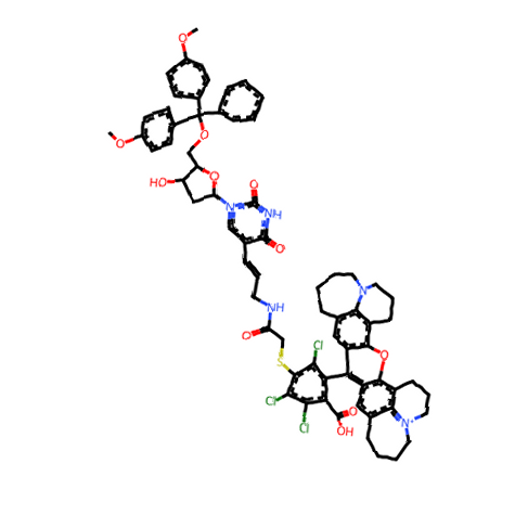 COc1ccc(C(OCC2OC(n3cc(/C=C/CNC(=O)CSc4c(Cl)c(Cl)c(C(=O)O)c(C5=c6cc7c8c(c6Oc6c5cc5c9c6CCCN9CCCC5)CCC[N+]=8CCCC7)c4Cl)c(=O)[nH]c3=O)CC2O)(c2ccccc2)c2ccc(OC)cc2)cc1